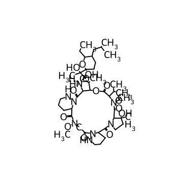 CCC1OC(O)(C(C)(O)C(=O)NC2C(=O)N3NCCCC3C(=O)N(OC)CC(=O)N3NCCCC3C(=O)N3CCC(C)(O)C3C(=O)N(OC)C(C(C)C)C(=O)OC2C(C)C)CCC1CC(C)C